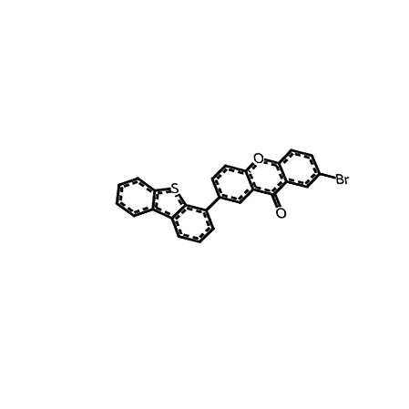 O=c1c2cc(Br)ccc2oc2ccc(-c3cccc4c3sc3ccccc34)cc12